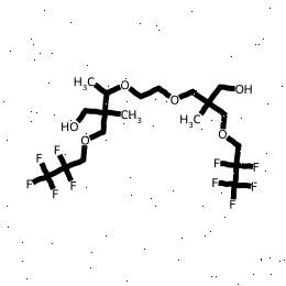 CC(OCCOCC(C)(CO)COCC(F)(F)C(F)(F)F)C(C)(CO)COCC(F)(F)C(F)(F)F